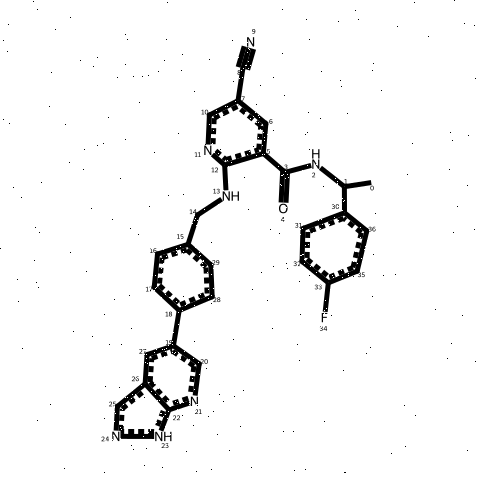 CC(NC(=O)c1cc(C#N)cnc1NCc1ccc(-c2cnc3[nH]ncc3c2)cc1)c1ccc(F)cc1